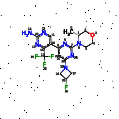 C[C@@H]1COCCN1c1nc(-c2cnc(N)nc2C(F)(F)F)cc(N2CC(F)C2)n1